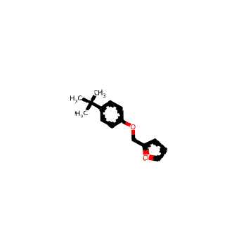 CC(C)(C)c1ccc(OCc2cc[c]o2)cc1